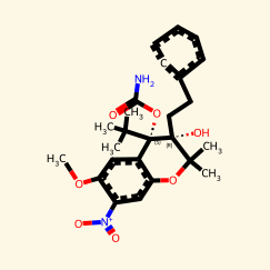 COc1cc2c(cc1[N+](=O)[O-])OC(C)(C)[C@](O)(CCc1ccccc1)[C@]2(OC(N)=O)C(C)(C)C